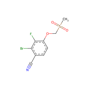 CS(=O)(=O)COc1ccc(C#N)c(Br)c1F